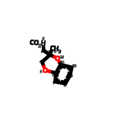 CC1(CC(=O)O)COc2ccccc2O1